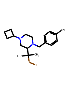 CC(C)(SS)C1CN(C2CCC2)CCN1Cc1ccc(C#N)cc1